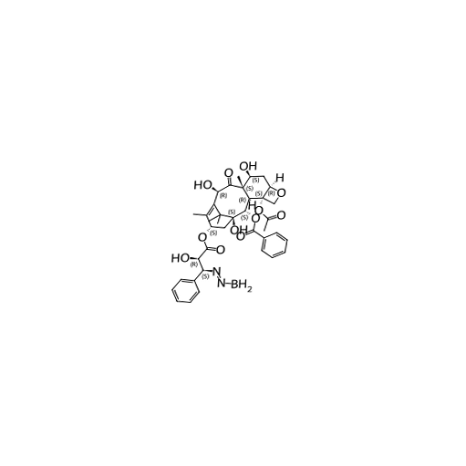 BN=N[C@@H](c1ccccc1)[C@@H](O)C(=O)O[C@H]1C[C@@]2(O)[C@@H](OC(=O)c3ccccc3)[C@@H]3[C@]4(OC(C)=O)CO[C@@H]4C[C@H](O)[C@@]3(C)C(=O)[C@H](O)C(=C1C)C2(C)C